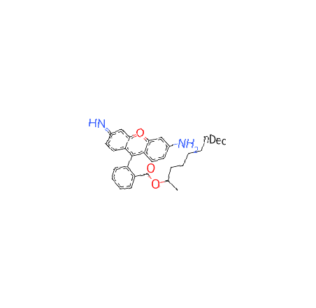 CCCCCCCCCCCCCCC(C)OC(=O)c1ccccc1-c1c2ccc(=N)cc-2oc2cc(N)ccc12